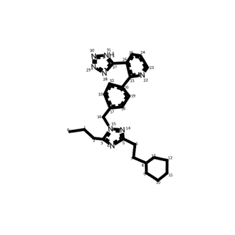 CCCc1nc(CCC2CCCCC2)nn1Cc1ccc(-c2ncccc2-c2nnn[nH]2)cc1